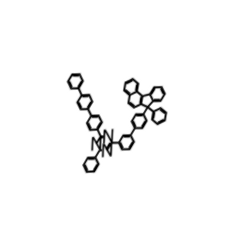 c1ccc(-c2ccc(-c3ccc(-c4nc(-c5ccccc5)nc(-c5cccc(-c6ccc(C7(c8ccccc8)c8ccccc8-c8c7ccc7ccccc87)cc6)c5)n4)cc3)cc2)cc1